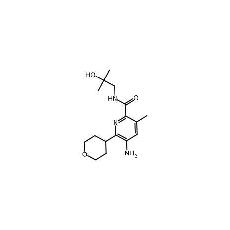 Cc1cc(N)c(C2CCOCC2)nc1C(=O)NCC(C)(C)O